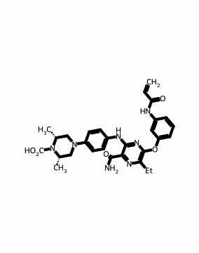 C=CC(=O)Nc1cccc(Oc2nc(Nc3ccc(N4C[C@@H](C)N(C(=O)O)[C@@H](C)C4)cc3)c(C(N)=O)nc2CC)c1